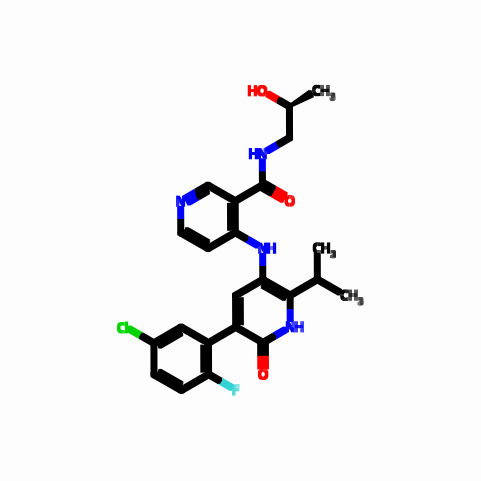 CC(C)c1[nH]c(=O)c(-c2cc(Cl)ccc2F)cc1Nc1ccncc1C(=O)NC[C@H](C)O